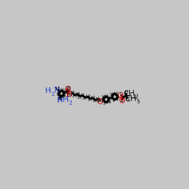 C=C(C)C(=O)Oc1ccc(-c2ccc(OCCCCCCCCCCCOC(=O)c3cc(N)cc(N)c3)cc2)cc1